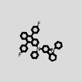 Fc1ccc(-c2c3ccccc3c(-c3ccc(F)cc3)c3cc(N(c4ccccc4)c4ccc5c(c4)c4c(n5-c5ccccc5)=CCCC=4)ccc23)cc1